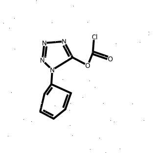 O=C(Cl)Oc1nnnn1-c1ccccc1